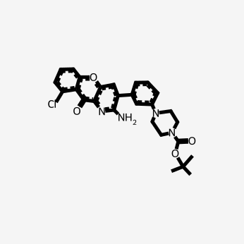 CC(C)(C)OC(=O)N1CCN(c2cccc(-c3cc4oc5cccc(Cl)c5c(=O)c4nc3N)c2)CC1